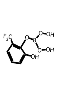 OOB(OO)Oc1c(O)cccc1C(F)(F)F